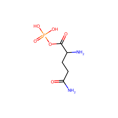 NC(=O)CCC(N)C(=O)OP(=O)(O)O